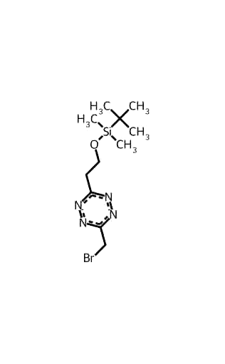 CC(C)(C)[Si](C)(C)OCCc1nnc(CBr)nn1